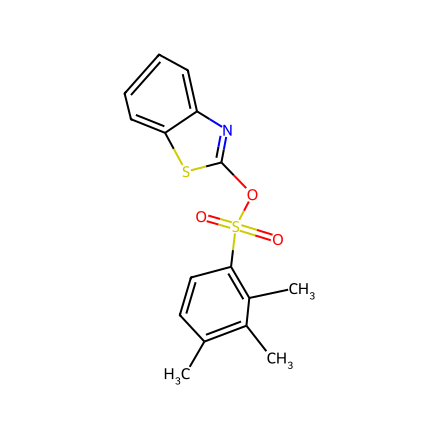 Cc1ccc(S(=O)(=O)Oc2nc3ccccc3s2)c(C)c1C